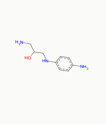 NCC(O)CNc1ccc(N)cc1